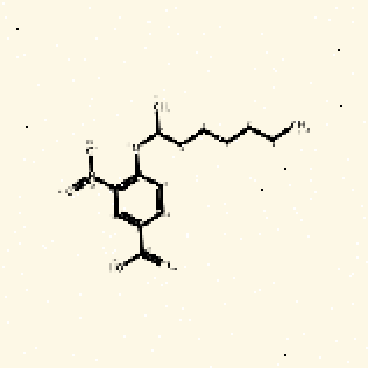 CCCCCCC(C)Oc1ccc(C(=O)O)cc1[N+](=O)[O-]